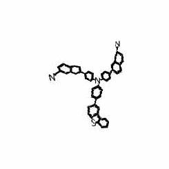 N#Cc1ccc2ccc(-c3ccc(N(c4ccc(-c5ccc6ccc(C#N)cc6c5)cc4)c4ccc(-c5ccc6sc7ccccc7c6c5)cc4)cc3)cc2c1